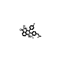 CN(C)Cc1ccc(C2C(c3ccc(F)cc3)c3n[nH]c(=O)c4cccc(c34)N2N)cc1